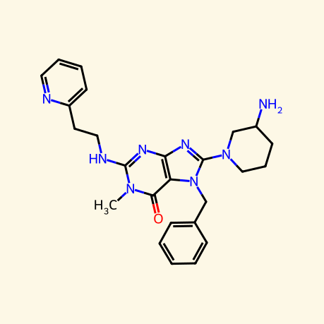 Cn1c(NCCc2ccccn2)nc2nc(N3CCCC(N)C3)n(Cc3ccccc3)c2c1=O